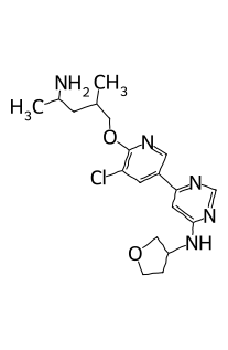 CC(N)CC(C)COc1ncc(-c2cc(NC3CCOC3)ncn2)cc1Cl